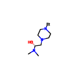 CCN1CCN(C[C@@H](O)N(C)C)CC1